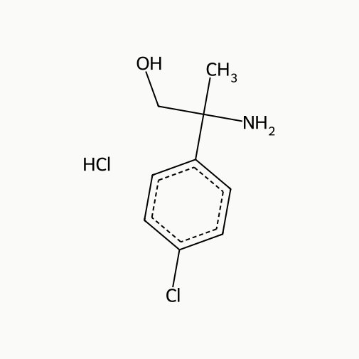 CC(N)(CO)c1ccc(Cl)cc1.Cl